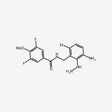 CCc1ccc(N)c(NN)c1CNC(=O)c1cc(F)c(OC)c(F)c1